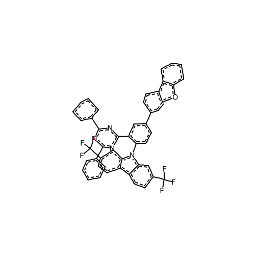 FC(F)(F)c1ccc2c3ccc(C(F)(F)F)cc3n(-c3ccc(-c4ccc5c(c4)oc4ccccc45)cc3-c3nc(-c4ccccc4)nc(-c4ccccc4)n3)c2c1